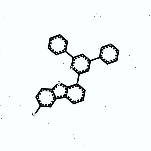 Clc1ccc2oc3c(-c4cc(-c5ccccc5)cc(-c5ccccc5)n4)cccc3c2c1